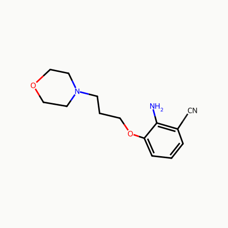 N#Cc1cccc(OCCCN2CCOCC2)c1N